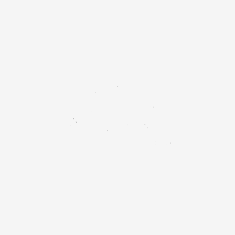 CC1(C)c2ccc(N)cc2N1C=O